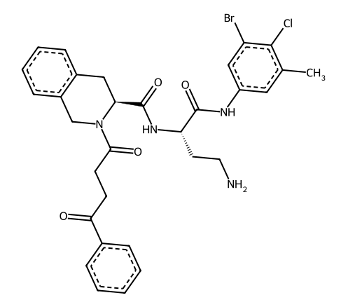 Cc1cc(NC(=O)[C@H](CCN)NC(=O)[C@@H]2Cc3ccccc3CN2C(=O)CCC(=O)c2ccccc2)cc(Br)c1Cl